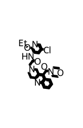 CCOc1ncc(Cl)cc1NC(=O)CN1CCc2nc3ccccc3c(C(=O)N3CCOCC3)c2C1